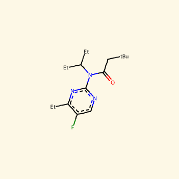 CCc1nc(N(C(=O)CC(C)(C)C)C(CC)CC)ncc1F